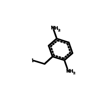 Nc1ccc(N)c(CI)c1